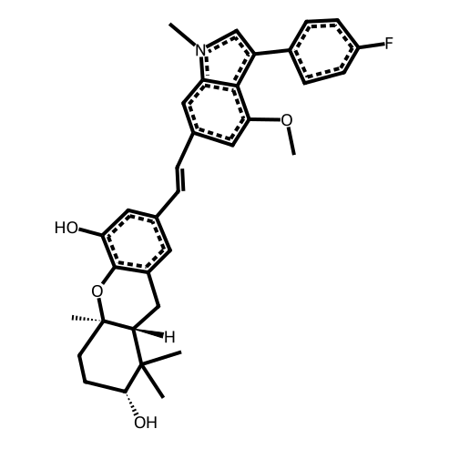 COc1cc(/C=C/c2cc(O)c3c(c2)C[C@@H]2C(C)(C)[C@H](O)CC[C@@]2(C)O3)cc2c1c(-c1ccc(F)cc1)cn2C